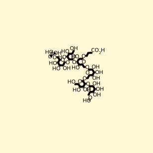 O=C(O)CCCO[C@@H]1OC(CO[C@H]2OC(CO[C@H]3OC(CO)[C@@H](O)[C@H](O)C3O[C@@H]3OC(COO)[C@@H](O)[C@H](O)C3O)[C@@H](O)[C@H](O)C2O)[C@@H](O)[C@H](O[C@H]2OC(CO)[C@@H](O)[C@H](O)C2O[C@H]2OC(COP(=O)(O)O)[C@@H](O)[C@H](O)C2O)C1O